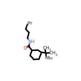 CCCCC(C)(C)C1CCCC(C(=O)NCCCC(C)C)C1